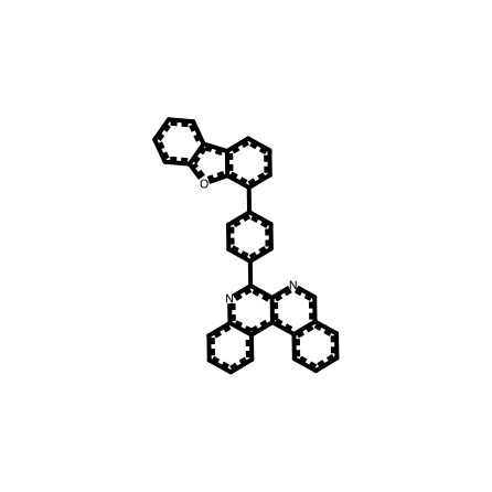 c1ccc2c(c1)cnc1c(-c3ccc(-c4cccc5c4oc4ccccc45)cc3)nc3ccccc3c12